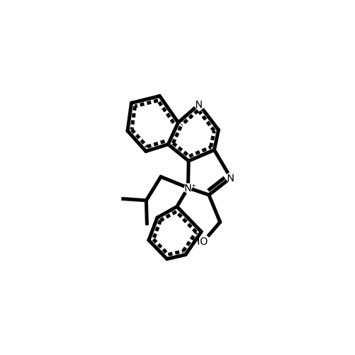 CC(C)C[N+]1(c2ccccc2)C(CO)=Nc2cnc3ccccc3c21